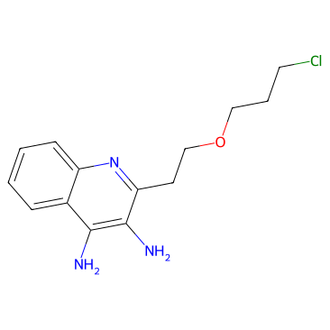 Nc1c(CCOCCCCl)nc2ccccc2c1N